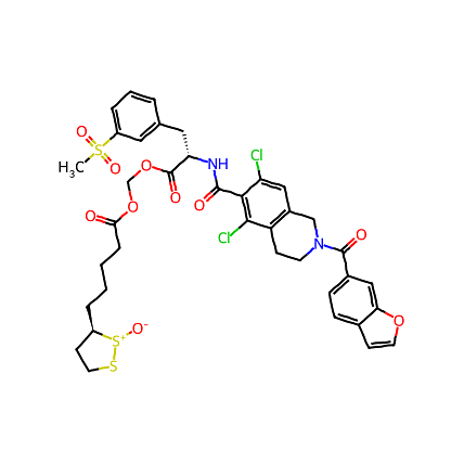 CS(=O)(=O)c1cccc(C[C@H](NC(=O)c2c(Cl)cc3c(c2Cl)CCN(C(=O)c2ccc4ccoc4c2)C3)C(=O)OCOC(=O)CCCC[C@@H]2CCS[S+]2[O-])c1